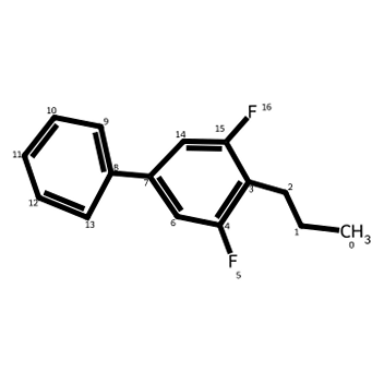 CCCc1c(F)cc(-c2ccccc2)cc1F